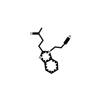 CC(=O)CCc1nc2ccccc2n1CCC#N